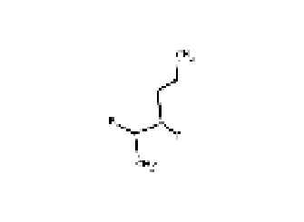 [CH2]C(F)C(F)CCC